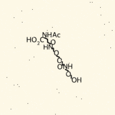 CC(=O)NC(CCC(=O)NCCOCCOCC(=O)NCCOCCO)C(=O)O